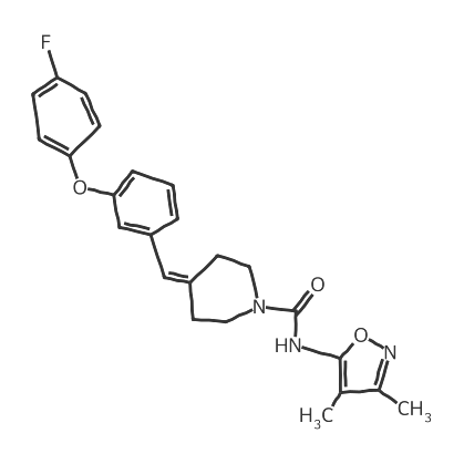 Cc1noc(NC(=O)N2CCC(=Cc3cccc(Oc4ccc(F)cc4)c3)CC2)c1C